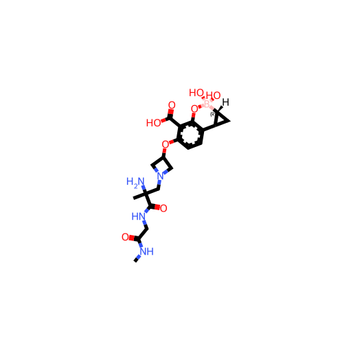 CNC(=O)CNC(=O)C(C)(N)CN1CC(Oc2ccc3c(c2C(=O)O)O[B-](O)(O)[C@@H]2CC32)C1